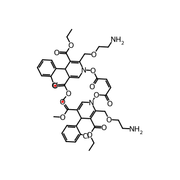 CCOC(=O)C1=C(COCCN)N(OC(=O)/C=C\C(=O)ON2C=C(C(=O)OC)C(c3ccccc3Cl)C(C(=O)OCC)=C2COCCN)C=C(C(=O)OC)C1c1ccccc1Cl